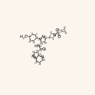 Cc1ccc(-n2nc(C3CN(S(=O)(=O)C4CC4)C3)cc2NC(=O)c2cnn3cccnc23)cc1